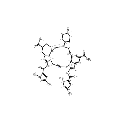 CCn1nc(C)cc1C(=O)NC1=NC2CC(C(N)=O)CCC3OCC(N4CCC(N)CC4)COc4cc(C(N)=O)cc5nc(NC(=O)c6cc(C)nn6CC)n(c45)C/C=C/CN1C23